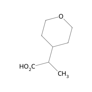 CC(C(=O)O)C1CCOCC1